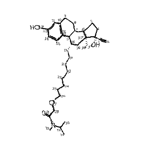 C#C[C@]1(O)CCC2C3CCc4cc(O)ccc4C3[C@@H](CCCCCCCCOCC(=O)N(C)C(C)C)C[C@@]21C